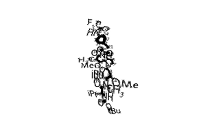 CC[C@@H](C)[C@@H]([C@@H](CC(=O)N1CCC[C@H]1[C@H](OC)[C@@H](C)C(=O)NS(=O)(=O)Cc1ccc(NC(=O)C(F)(F)F)cc1)OC)N(C)C(=O)[C@@H](NC(=O)OC(C)(C)C)C(C)C